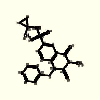 Cn1c(=O)c2cc(S(=O)(=O)NC3(C)CC3)ccc2n(Cc2ccncc2)c1=O